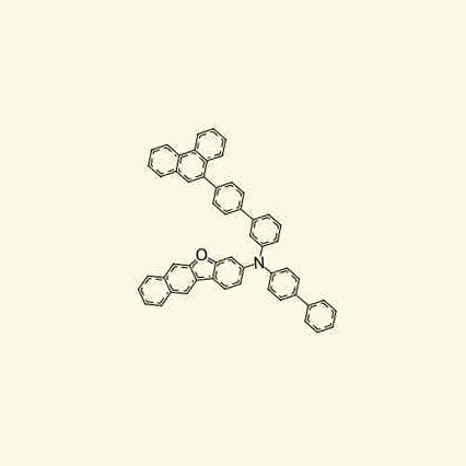 c1ccc(-c2ccc(N(c3cccc(-c4ccc(-c5cc6ccccc6c6ccccc56)cc4)c3)c3ccc4c(c3)oc3cc5ccccc5cc34)cc2)cc1